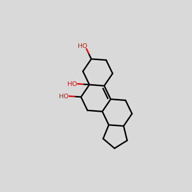 OC1CCC2=C3CCC4CCCC4C3CC(O)C2(O)C1